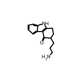 NCCCC1CCc2[nH]c3ccccc3c2C1=O